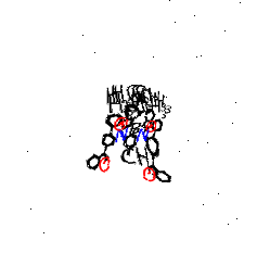 Cc1cc2c3c(c1)N(c1cc(-c4coc5ccccc45)ccc1-c1ccccc1)c1oc4ccc(C(C)(C)C)cc4c1B3c1c(oc3ccc(C(C)(C)C)cc13)N2c1cc(-c2coc3ccccc23)ccc1-c1ccccc1